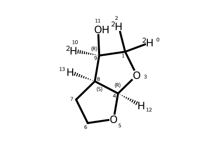 [2H]C1([2H])O[C@H]2OCC[C@H]2[C@@]1([2H])O